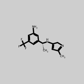 CC1=NCC(N[C@H](C)c2cc(N)cc(C(F)(F)F)c2)=C1